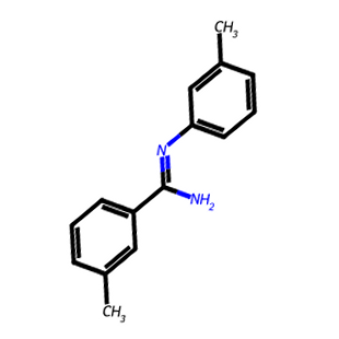 Cc1cccc(/N=C(\N)c2cccc(C)c2)c1